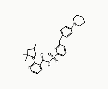 CC1CN(c2ncccc2C(=O)NS(=O)(=O)c2cccc(Cc3ccc(N4CCCCC4)cc3)n2)C(C)(C)C1